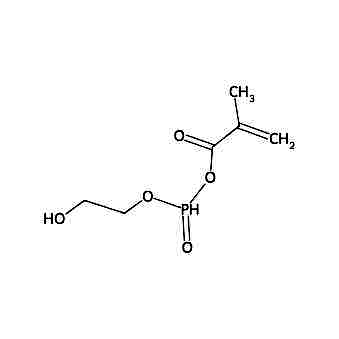 C=C(C)C(=O)O[PH](=O)OCCO